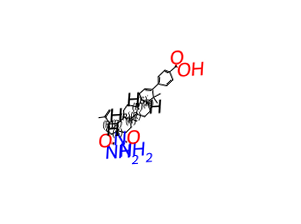 C=C(C)[C@@H]1CC[C@]2(N(C(N)=O)C(N)=O)CC[C@]3(C)[C@H](CC[C@@H]4[C@@]5(C)CC=C(c6ccc(C(=O)O)cc6)C(C)(C)[C@@H]5CC[C@]43C)[C@@H]12